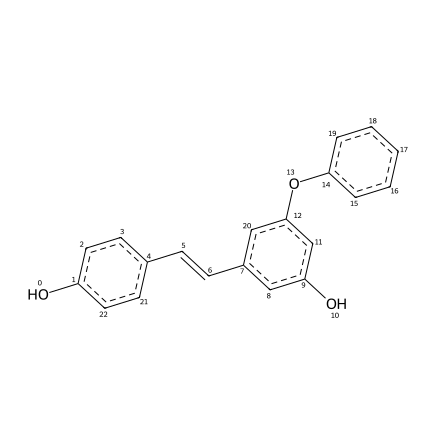 Oc1ccc(C=Cc2cc(O)cc(Oc3ccccc3)c2)cc1